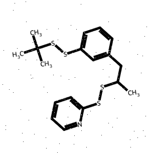 CC(Cc1cccc(SSC(C)(C)C)c1)SSc1ccccn1